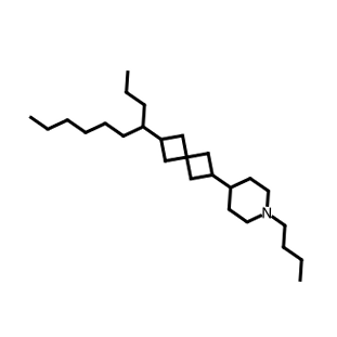 CCCCCCC(CCC)C1CC2(C1)CC(C1CCN(CCCC)CC1)C2